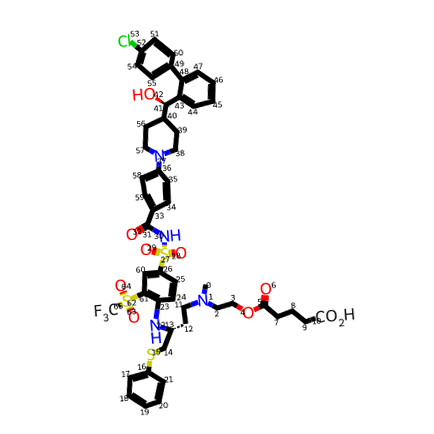 CN(CCOC(=O)CCCC(=O)O)CC[C@H](CSc1ccccc1)Nc1ccc(S(=O)(=O)NC(=O)c2ccc(N3CCC([C@@H](O)c4ccccc4-c4ccc(Cl)cc4)CC3)cc2)cc1S(=O)(=O)C(F)(F)F